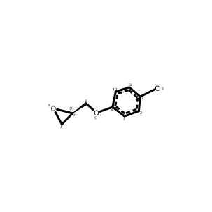 Clc1ccc(OC[C@H]2CO2)cc1